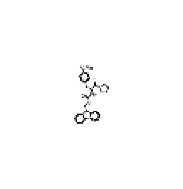 COc1ccc(CN(NC(=O)OCC2c3ccccc3-c3ccccc32)C(=O)N2CCCC2)cc1